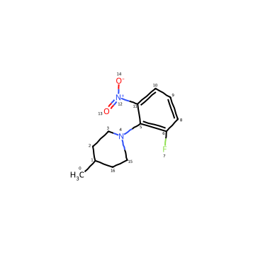 CC1CCN(c2c(F)cccc2[N+](=O)[O-])CC1